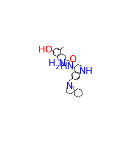 Cc1cc(O)cc(C)c1CC(N)C(=O)NC1CCNc2ccc(CN3CCCC4(CCCCC4)C3)cc21